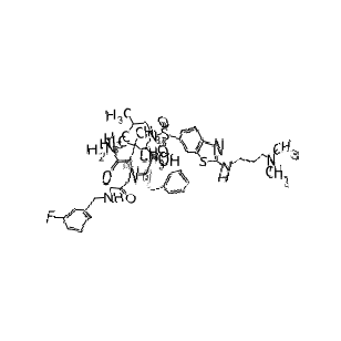 CC(C)CN(C[C@@H](O)[C@H](Cc1ccccc1)N(C(=O)CNCc1cccc(F)c1)[C@H](C(N)=O)C(C)(C)C)S(=O)(=O)c1ccc2nc(NCCCN(C)C)sc2c1